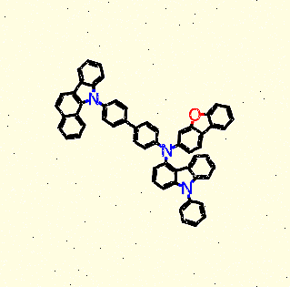 c1ccc(-n2c3ccccc3c3c(N(c4ccc(-c5ccc(-n6c7ccccc7c7ccc8ccccc8c76)cc5)cc4)c4ccc5c(c4)oc4ccccc45)cccc32)cc1